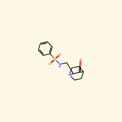 O=C1C2CCN(CC2)C1CNS(=O)(=O)c1ccccc1